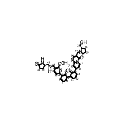 COc1nc(-c2cccc(-c3cccc(-c4ccn5c(=O)c(CN6CCC[C@@H]6CO)cnc5c4)c3Cl)c2Cl)ccc1CNC[C@H]1CCC(=O)N1